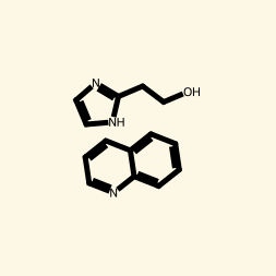 OCCc1ncc[nH]1.c1ccc2ncccc2c1